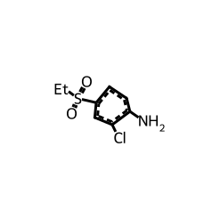 CCS(=O)(=O)c1ccc(N)c(Cl)c1